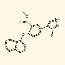 COC(=O)c1cc(-c2c[nH]nc2F)ccc1Oc1cccc2ccccc12